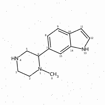 CN1CCNCC1c1ccc2cc[nH]c2c1